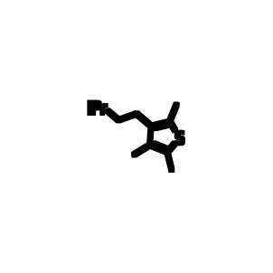 Cc1sc(C)c(CCC(C)C)c1C